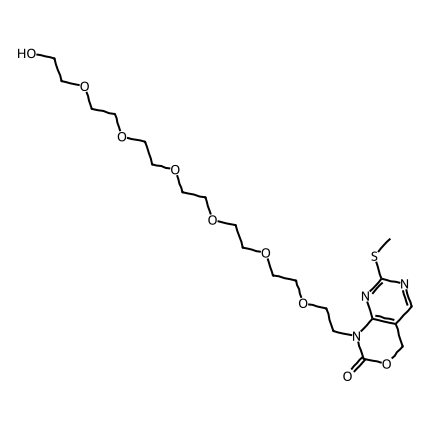 CSc1ncc2c(n1)N(CCOCCOCCOCCOCCOCCOCCO)C(=O)OC2